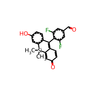 C[Si]1(C)C2=CC(=O)C=CC2=C(c2c(F)cc(C=O)cc2F)c2ccc(O)cc21